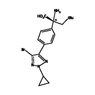 CC(C)(C)C[C@](N)(C(=O)O)c1ccc(-c2nn(C3CC3)nc2Br)cc1